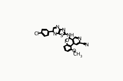 COc1cccc(F)c1-c1cc(C#N)ncc1C(=O)Nc1nc2ncc(-c3ccc(Cl)cc3)nc2s1